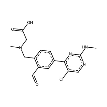 CNc1ncc(Cl)c(-c2ccc(CN(C)CC(=O)O)c(C=O)c2)n1